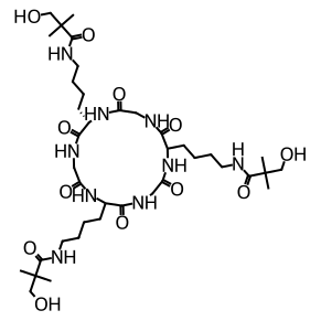 CC(C)(CO)C(=O)NCCCCC1NC(=O)CNC(=O)C(CCCCNC(=O)C(C)(C)CO)NC(=O)CNC(=O)[C@H](CCCCNC(=O)C(C)(C)CO)NC(=O)CNC1=O